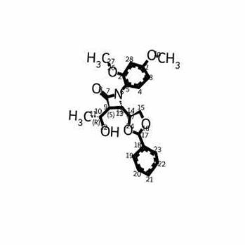 COc1ccc(N2C(=O)[C@H]([C@@H](C)O)[C@H]2[C@H]2COC(c3ccccc3)O2)c(OC)c1